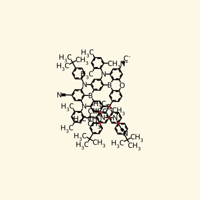 [C-]#[N+]c1cc2c3c(c1)N(c1c(C)cc(C)cc1C)c1cc4c(cc1B3c1cc(C(C)(C)C)ccc1O2)B1c2cc3c(cc2N(c2c(C)cc(C)cc2C)c2cc(C#N)cc(c21)N4c1ccc(C(C)(C)C)cc1)N(c1ccc(C(C)(C)C)cc1)c1cc(C#N)cc2c1B3c1cc(C(C)(C)C)ccc1N2c1ccc(C(C)(C)C)cc1